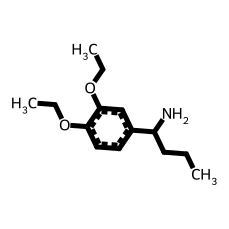 CCCC(N)c1ccc(OCC)c(OCC)c1